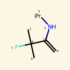 C=C(NC(C)C)C(C)(C)F